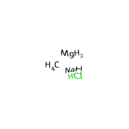 C.Cl.[MgH2].[NaH]